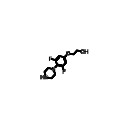 OCCOc1cc(F)c(N2CCNCC2)c(F)c1